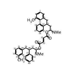 CNC(CC(Cc1cccc(C)c1)c1ccccc1)OC(=O)/C=C/C(=O)OC(CC(Cc1cccc(C)c1)c1ccccc1)NC